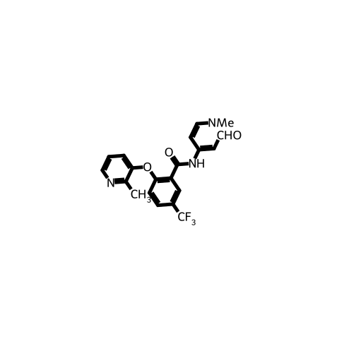 CN/C=C\C(=C/C=O)NC(=O)c1cc(C(F)(F)F)ccc1Oc1cccnc1C